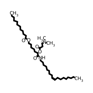 CCCCCCCC/C=C\CCCCCCCCNC(=O)C(CCCCCOC(=O)CCCCCCCCCCC)OC(=O)CCN(C)C